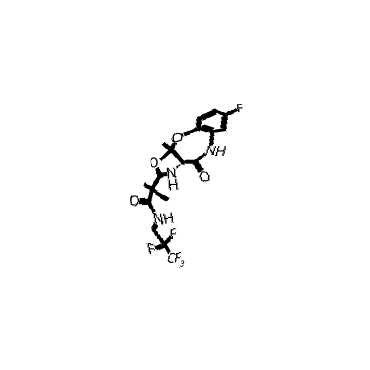 CC(C)(C(=O)NCC(F)(F)C(F)(F)F)C(=O)N[C@H]1C(=O)Nc2cc(F)ccc2OC1(C)C